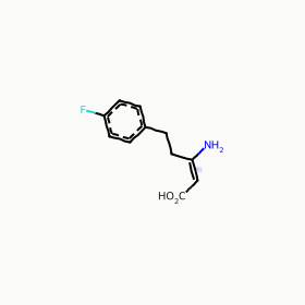 N/C(=C/C(=O)O)CCc1ccc(F)cc1